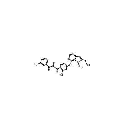 Cn1c(CO)cc2ncnc(Oc3ccc(NC(=O)Nc4cccc(C(F)(F)F)c4)c(Cl)c3)c21